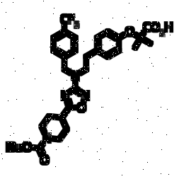 CC(C)COC(=O)N1CCC(c2nc(N(CCc3ccc(OC(C)(C)C(=O)O)cc3)Cc3ccc(C(F)(F)F)cc3)no2)CC1